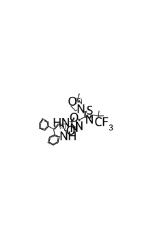 C[C@H]1CN(c2sc(C(C)(C)C(F)(F)F)nc2-c2nnc(N[C@H]3C=C(c4ccccc4)c4ccccc4NC3=O)o2)CCO1